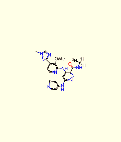 [2H]C([2H])([2H])NC(=O)c1nnc(Nc2ccncc2)cc1Nc1nccc(-c2ncn(C)n2)c1OC